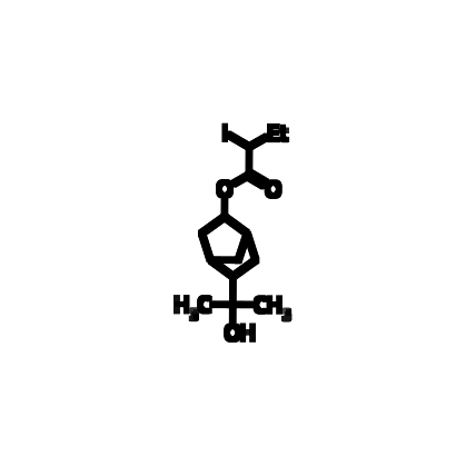 CCC(I)C(=O)OC1CC2CC1CC2C(C)(C)O